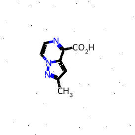 Cc1cc2c(C(=O)O)nccn2n1